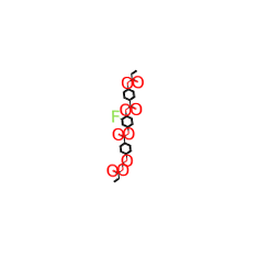 C=CC(=O)OCOc1ccc(C(=O)Oc2ccc(OC(=O)c3ccc(OC(=O)C=C)cc3)c(F)c2)cc1